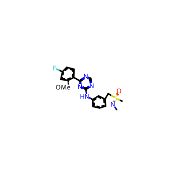 CN=S(C)(=O)Cc1cccc(Nc2ncnc(-c3ccc(F)cc3OC)n2)c1